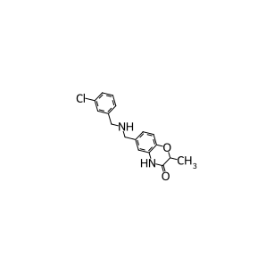 CC1Oc2ccc(CNCc3cccc(Cl)c3)cc2NC1=O